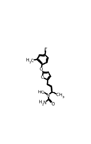 Cc1cc(F)ccc1Oc1ccc(/C=C/C(C)N(O)C(N)=O)o1